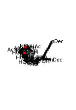 CCCCCCCCCCCCC/C=C/[C@@H](O)[C@H](CO[C@@H]1OC(CO)[C@@H](O[C@@H]2OC(CO)[C@H](O)[C@H](O[C@@H]3OC(CO)[C@@H](O[C@@H]4OC(CO)[C@H](O)[C@H](O[C@]5(C(=O)O)CC(O)[C@@H](NC(C)=O)C([C@H](O)[C@@H](CO)O[C@]6(C(=O)O)CC(O)[C@@H](NC(C)=O)C([C@H](O)[C@H](O)CO)O6)O5)C4O)[C@H](O)C3NC(C)=O)C2O)[C@H](O)C1O)NC(=O)CCCCCCCCCCCCCCCCCCCCCCC